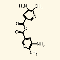 Cc1ncc(C(=O)OC(=O)c2cnc(C)c(N)c2)cc1N